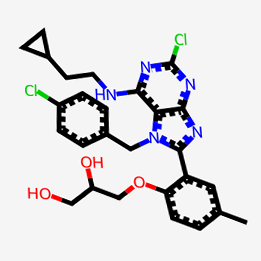 Cc1ccc(OCC(O)CO)c(-c2nc3nc(Cl)nc(NCCC4CC4)c3n2Cc2ccc(Cl)cc2)c1